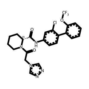 O=C(Nc1ccc(-c2ccccc2OC(F)(F)F)c(Cl)c1)[C@H]1CCCCN1C(=O)Cn1cnnc1